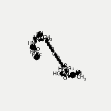 Cc1ncsc1-c1ccc(CNC(=O)C2C[C@@H](O)CN2C(=O)[C@@H](NC(=O)CCCCCOCCOCCOCCCCCC(=O)N(C)CCCn2c(CNc3cccc(C(=O)NCc4c(F)cccc4F)c3)nnc2-c2ccncn2)C(C)(C)C)cc1